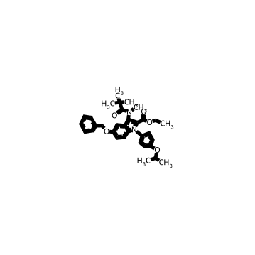 CCOC(=O)c1c(N(C)C(=O)C(C)(C)C)c2cc(OCc3ccccc3)ccc2n1-c1ccc(OC(C)C)cc1